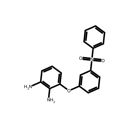 Nc1cccc(Oc2cccc(S(=O)(=O)c3ccccc3)c2)c1N